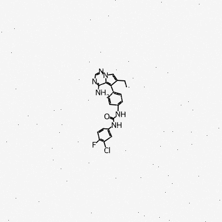 [CH2]Cc1cn2ncnc(N)c2c1-c1ccc(NC(=O)Nc2ccc(F)c(Cl)c2)cc1